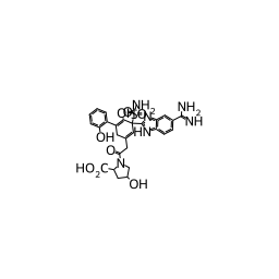 N=C(N)c1ccc2[nH]c(C3(S(N)(=O)=O)C=C(CC(=O)N4CC(O)CC4C(=O)O)CC(c4ccccc4O)=C3O)nc2c1